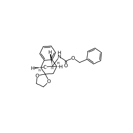 O=C(N[C@H]1C[C@H]2c3ccccc3[C@H]1CC21OCCO1)OCc1ccccc1